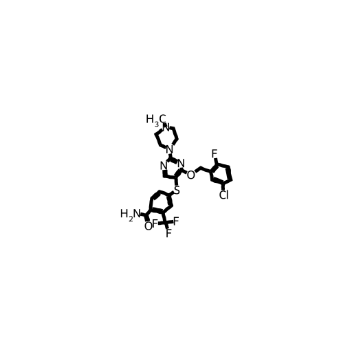 CN1CCN(c2ncc(Sc3ccc(C(N)=O)c(C(F)(F)F)c3)c(OCc3cc(Cl)ccc3F)n2)CC1